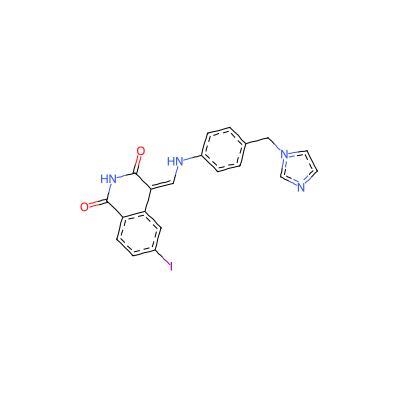 O=C1NC(=O)c2ccc(I)cc2/C1=C/Nc1ccc(Cn2ccnc2)cc1